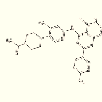 CC(=O)N1CCC(c2ccc(Nc3nc(-c4cnc(N)nc4)cc4cc[nH]c(=O)c34)cc2C)CC1